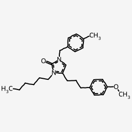 CCCCCCn1c(CCCc2ccc(OC)cc2)cn(Cc2ccc(C)cc2)c1=O